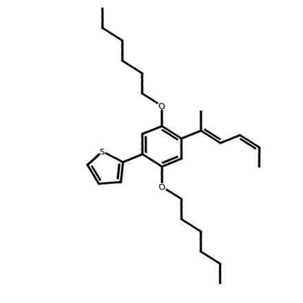 C/C=C\C=C(/C)c1cc(OCCCCCC)c(-c2cccs2)cc1OCCCCCC